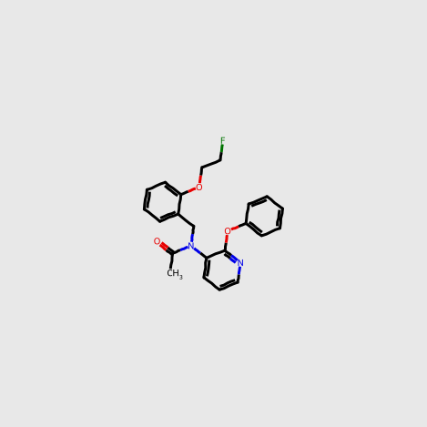 CC(=O)N(Cc1ccccc1OCCF)c1cccnc1Oc1ccccc1